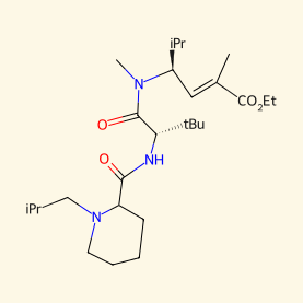 CCOC(=O)/C(C)=C/[C@H](C(C)C)N(C)C(=O)[C@@H](NC(=O)C1CCCCN1CC(C)C)C(C)(C)C